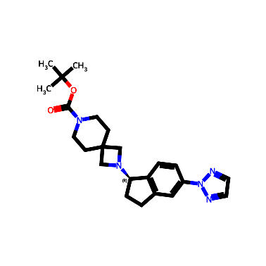 CC(C)(C)OC(=O)N1CCC2(CC1)CN([C@@H]1CCc3cc(-n4nccn4)ccc31)C2